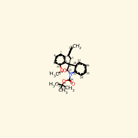 C=C=CC[C@]1(c2ccccc2OC)C(=O)N(C(=O)OC(C)(C)C)c2ccccc21